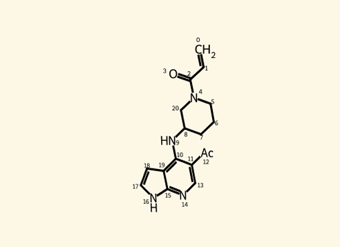 C=CC(=O)N1CCCC(Nc2c(C(C)=O)cnc3[nH]ccc23)C1